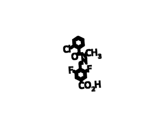 CN(/N=C/c1c(F)cc(C(=O)O)cc1F)C(=O)c1ccccc1Cl